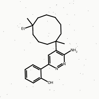 CCC1(C)CCCCCC(C)(c2cc(-c3ccccc3O)nnc2N)CCC1